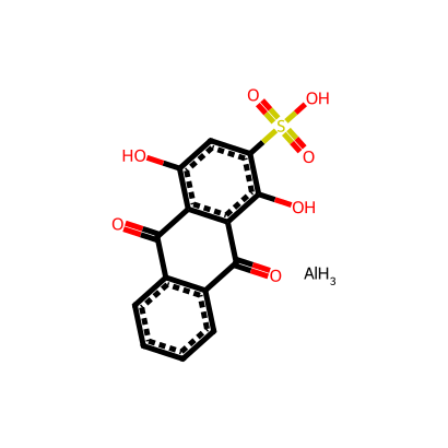 O=C1c2ccccc2C(=O)c2c(O)c(S(=O)(=O)O)cc(O)c21.[AlH3]